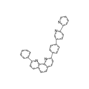 c1ccc(-c2ccc3ccc4ccc(-c5ccc(-c6ccc(-c7ccccn7)nc6)cc5)nc4c3n2)cc1